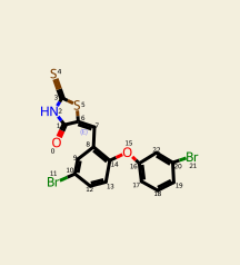 O=C1NC(=S)S/C1=C/c1cc(Br)ccc1Oc1cccc(Br)c1